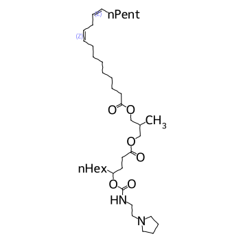 CCCCC/C=C\C/C=C\CCCCCCCC(=O)OCC(C)COC(=O)CCC(CCCCCC)OC(=O)NCCN1CCCC1